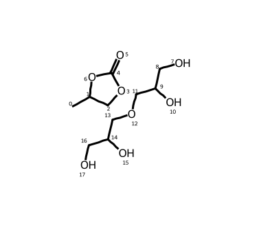 CC1COC(=O)O1.OCC(O)COCC(O)CO